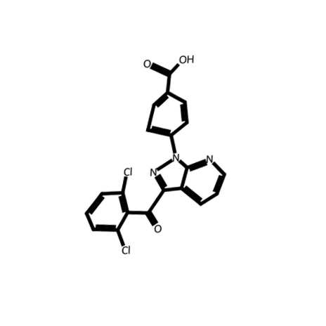 O=C(O)c1ccc(-n2nc(C(=O)c3c(Cl)cccc3Cl)c3cccnc32)cc1